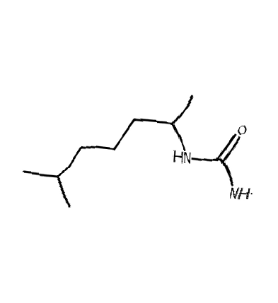 CC(C)CCCC(C)NC([NH])=O